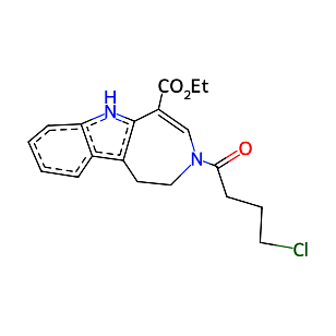 CCOC(=O)C1=CN(C(=O)CCCCl)CCc2c1[nH]c1ccccc21